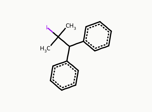 CC(C)(I)C(c1ccccc1)c1ccccc1